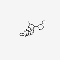 CCOC(=O)[N+]1(CC)N=Cc2c(-c3cccc(Cl)c3)cc(C)nc21